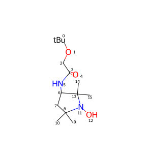 CC(C)(C)OCC(=O)NC1CC(C)(C)N(O)C1(C)C